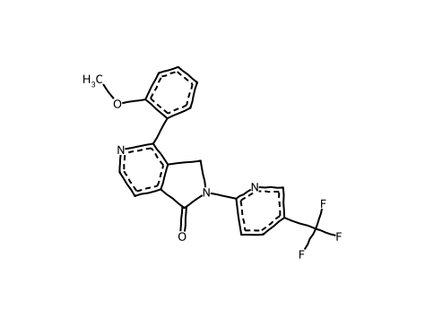 COc1ccccc1-c1nccc2c1CN(c1ccc(C(F)(F)F)cn1)C2=O